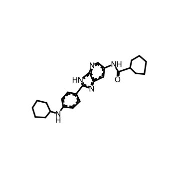 O=C(Nc1cnc2[nH]c(-c3ccc(NC4CCCCC4)cc3)nc2c1)C1CCCCC1